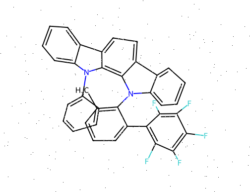 Cc1cccc(-c2c(F)c(F)c(F)c(F)c2F)c1-n1c2ccccc2c2ccc3c4ccccc4n(-c4ccccc4)c3c21